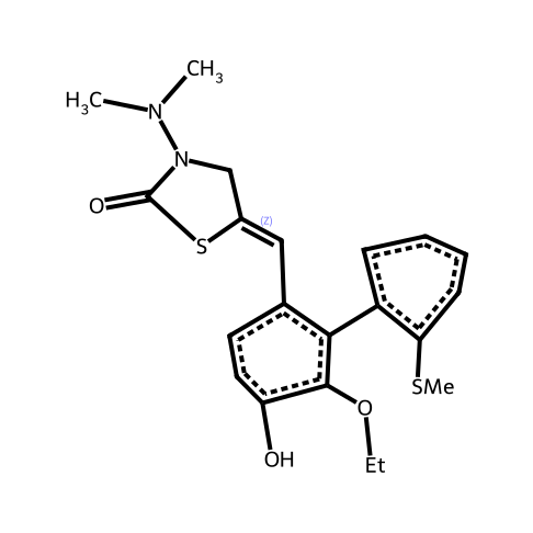 CCOc1c(O)ccc(/C=C2/CN(N(C)C)C(=O)S2)c1-c1ccccc1SC